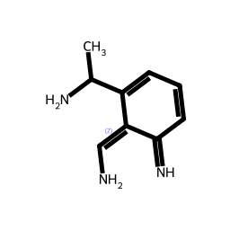 CC(N)C1=CC=CC(=N)/C1=C\N